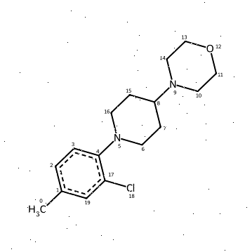 Cc1ccc(N2CCC(N3CCOCC3)CC2)c(Cl)c1